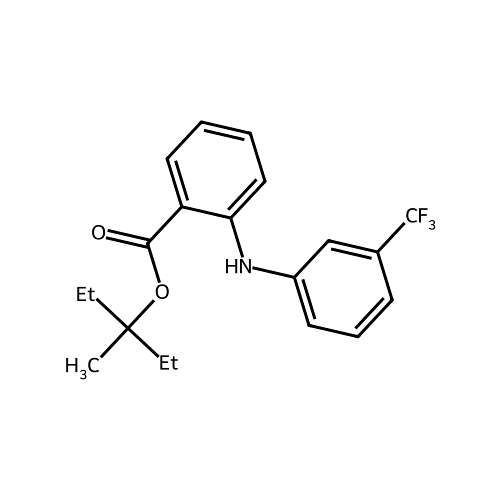 CCC(C)(CC)OC(=O)c1ccccc1Nc1cccc(C(F)(F)F)c1